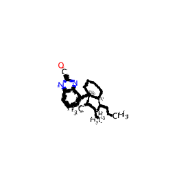 CCCC(C)[C@@H]1CCCC[C@]1(c1cccc2c1=NC(=C=O)N=2)C(C)CCC